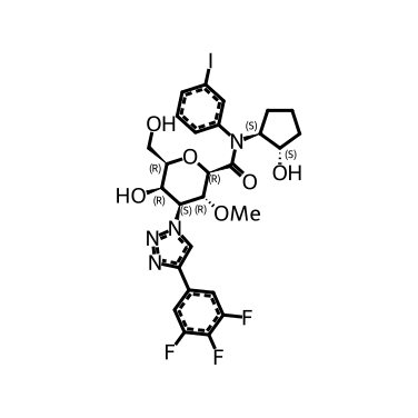 CO[C@@H]1[C@@H](n2cc(-c3cc(F)c(F)c(F)c3)nn2)[C@@H](O)[C@@H](CO)O[C@H]1C(=O)N(c1cccc(I)c1)[C@H]1CCC[C@@H]1O